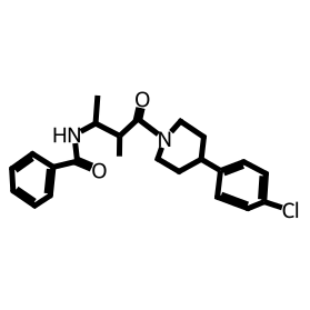 CC(NC(=O)c1ccccc1)C(C)C(=O)N1CCC(c2ccc(Cl)cc2)CC1